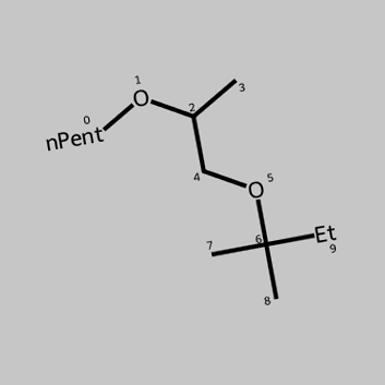 CCCCCOC(C)COC(C)(C)CC